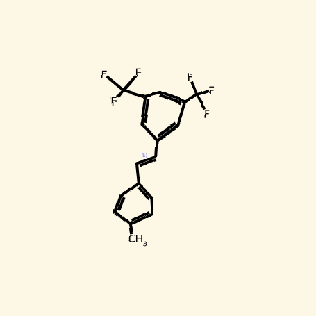 Cc1ccc(/C=C/c2cc(C(F)(F)F)cc(C(F)(F)F)c2)cc1